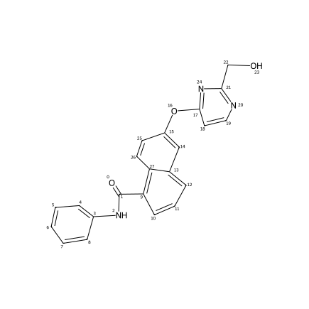 O=C(Nc1ccccc1)c1cccc2cc(Oc3ccnc(CO)n3)ccc12